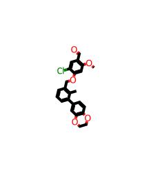 COc1cc(OCc2cccc(-c3ccc4c(c3)OCCO4)c2C)c(Cl)cc1C=O